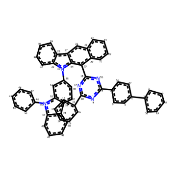 c1ccc(-c2ccc(-c3nc(-c4ccccc4)nc(-c4c5ccccc5cc5c6ccccc6n(-c6ccc7c8ccccc8n(-c8ccccc8)c7c6)c45)n3)cc2)cc1